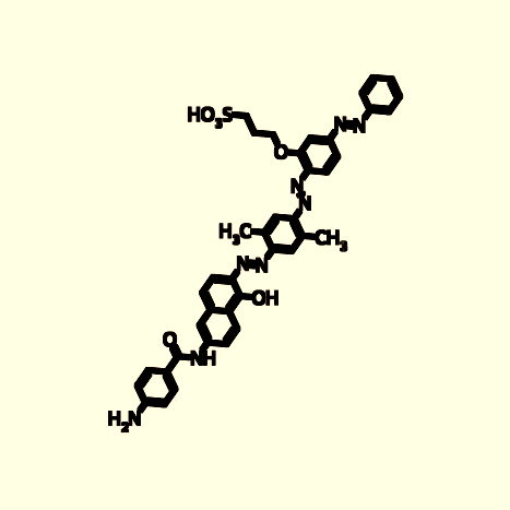 Cc1cc(N=Nc2ccc3cc(NC(=O)c4ccc(N)cc4)ccc3c2O)c(C)cc1N=Nc1ccc(N=Nc2ccccc2)cc1OCCCS(=O)(=O)O